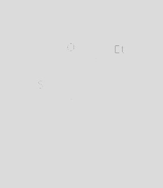 [CH2]CC(=O)C1=CC=CCC1=S